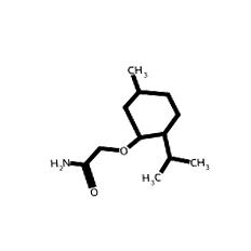 CC1CCC(C(C)C)C(OCC(N)=O)C1